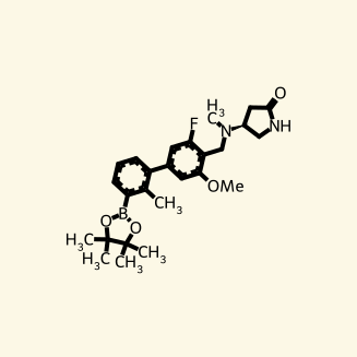 COc1cc(-c2cccc(B3OC(C)(C)C(C)(C)O3)c2C)cc(F)c1CN(C)[C@@H]1CNC(=O)C1